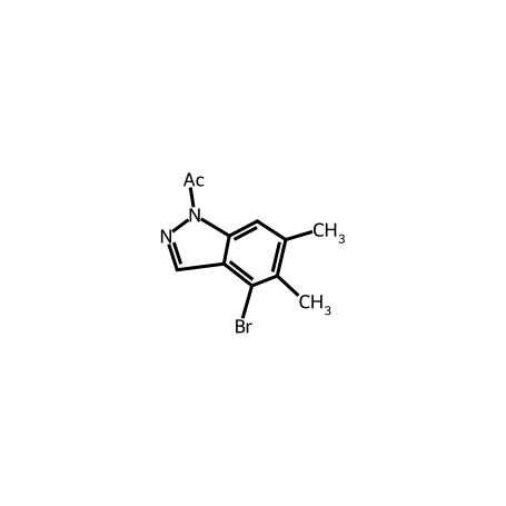 CC(=O)n1ncc2c(Br)c(C)c(C)cc21